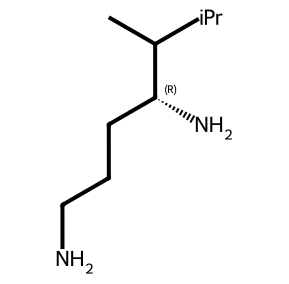 CC(C)C(C)[C@H](N)CCCN